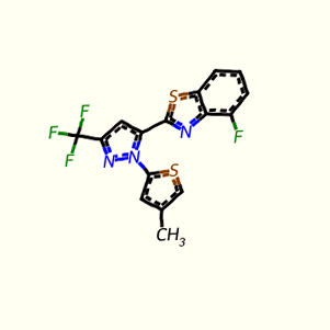 Cc1csc(-n2nc(C(F)(F)F)cc2-c2nc3c(F)cccc3s2)c1